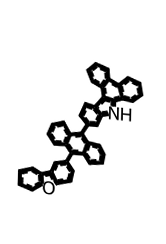 c1ccc2c(c1)oc1ccc(-c3c4ccccc4c(-c4ccc5c(c4)[nH]c4c6ccccc6c6ccccc6c54)c4ccccc34)cc12